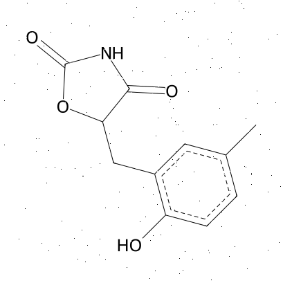 Cc1ccc(O)c(CC2OC(=O)NC2=O)c1